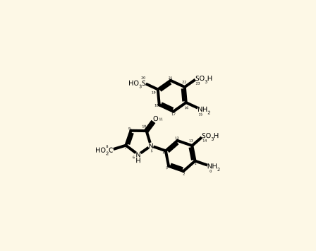 Nc1ccc(-n2[nH]c(C(=O)O)cc2=O)cc1S(=O)(=O)O.Nc1ccc(S(=O)(=O)O)cc1S(=O)(=O)O